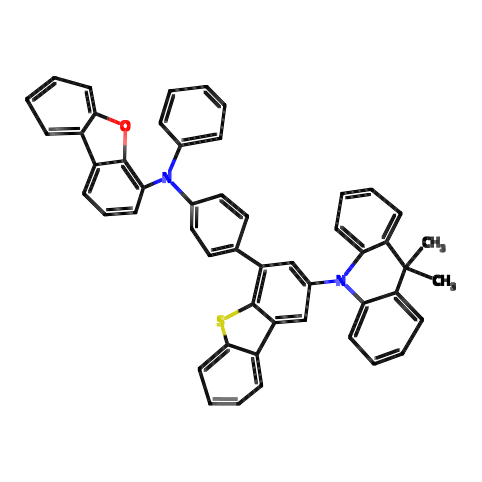 CC1(C)c2ccccc2N(c2cc(-c3ccc(N(c4ccccc4)c4cccc5c4oc4ccccc45)cc3)c3sc4ccccc4c3c2)c2ccccc21